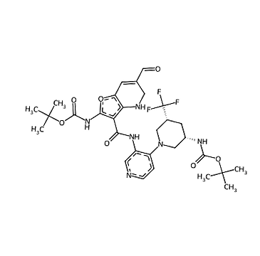 CC(C)(C)OC(=O)Nc1oc2c(c1C(=O)Nc1cnccc1N1C[C@@H](NC(=O)OC(C)(C)C)C[C@@H](C(F)(F)F)C1)NCC(C=O)=C2